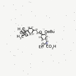 CCCCOc1cc(/C=C(\OCC)C(=O)O)ccc1OCCc1ccc(N(C)S(C)(=O)=O)cc1